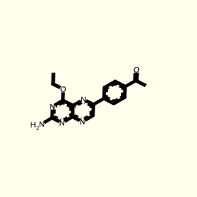 CCOc1nc(N)nc2ncc(-c3ccc(C(C)=O)cc3)nc12